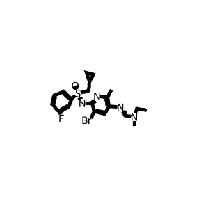 CCN(C)C=Nc1cc(Br)c(N=S(=O)(CC2CC2)c2cccc(F)c2)nc1C